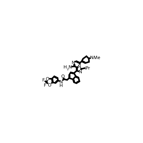 CNC1CC=C(c2cnc(N)c3c(-c4ccc(CC(=O)Nc5ccc6c(c5)OC(F)(F)O6)c5ccccc45)nc(C(C)C)n23)CC1